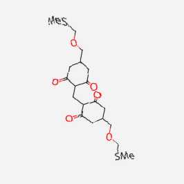 CSCOCC1CC(=O)C(CC2C(=O)CC(COCSC)CC2=O)C(=O)C1